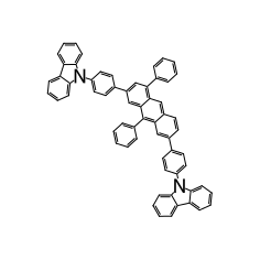 c1ccc(-c2cc(-c3ccc(-n4c5ccccc5c5ccccc54)cc3)cc3c(-c4ccccc4)c4cc(-c5ccc(-n6c7ccccc7c7ccccc76)cc5)ccc4cc23)cc1